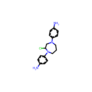 Nc1ccc(N2CCCN(c3ccc(N)cc3)C(Cl)C2)cc1